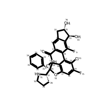 CNC(=O)c1cc2c(c(F)c1-c1c(Cl)c(F)cc3c1C[C@](c1ccccc1)([C@@H]1CCCN1)O3)[C@H](O)[C@@H](O)C2